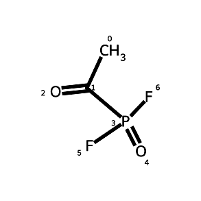 CC(=O)P(=O)(F)F